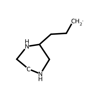 [CH2]CCC1CNCCN1